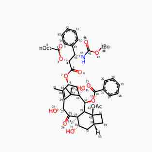 CCCCCCCCC(=O)O[C@@H](C(=O)O[C@H]1C[C@@]2(O)[C@@H](OC(=O)c3ccccc3)C3[C@](C)(C(=O)[C@H](O)C(=C1C)C2(C)C)[C@@H](O)C[C@H]1CC[C@@]31OC(C)=O)[C@@H](NC(=O)OC(C)(C)C)c1ccccc1